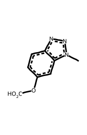 Cn1nnc2ccc(OC(=O)O)cc21